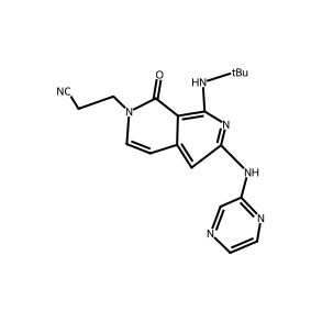 CC(C)(C)Nc1nc(Nc2cnccn2)cc2ccn(CCC#N)c(=O)c12